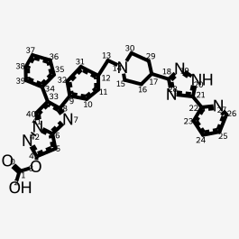 O=C(O)Oc1cc2nc(-c3ccc(CN4CCC(c5n[nH]c(-c6ccccn6)n5)CC4)cc3)c(-c3ccccc3)cn2n1